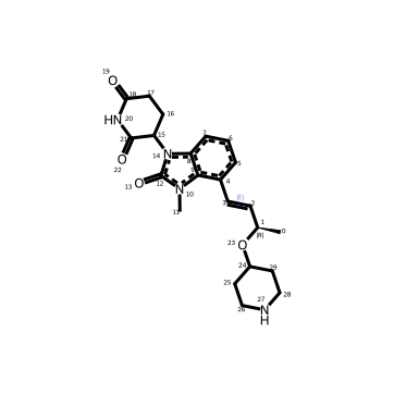 C[C@H](/C=C/c1cccc2c1n(C)c(=O)n2C1CCC(=O)NC1=O)OC1CCNCC1